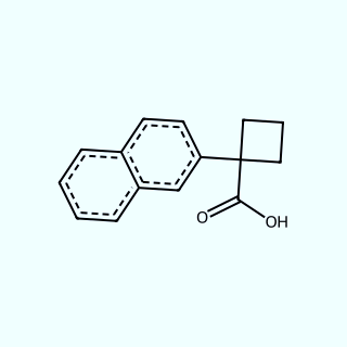 O=C(O)C1(c2ccc3ccccc3c2)CCC1